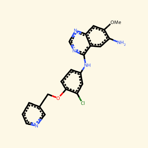 COc1cc2ncnc(Nc3ccc(OCc4cccnc4)c(Cl)c3)c2cc1N